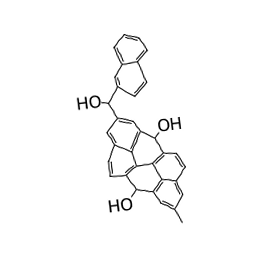 Cc1cc2c3c4c(ccc3c1)C(O)c1cc(C(O)c3ccc5ccccc5c3)cc3ccc(c-4c13)C2O